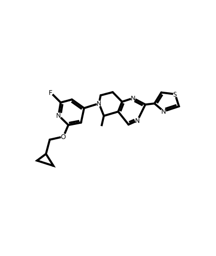 CC1c2cnc(-c3cscn3)nc2CCN1c1cc(F)nc(OCC2CC2)c1